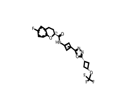 O=C(NC12CC(c3nnc([C@H]4C[C@@H](OC(F)(F)F)C4)o3)(C1)C2)[C@@H]1CCc2cc(F)ccc2O1